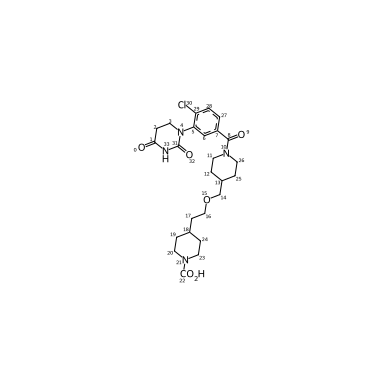 O=C1CCN(c2cc(C(=O)N3CCC(COCCC4CCN(C(=O)O)CC4)CC3)ccc2Cl)C(=O)N1